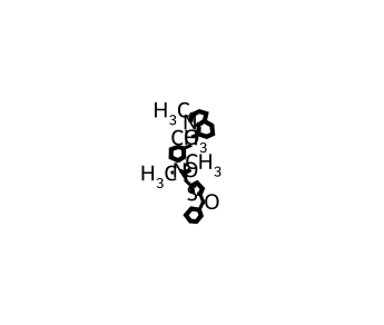 Cc1ccc2cccc(OCc3c(C)ccc(N(C)C(=O)Cc4ccc(C(=O)c5ccccc5)s4)c3C)c2n1